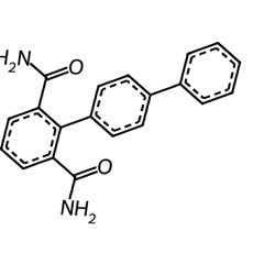 NC(=O)c1cccc(C(N)=O)c1-c1ccc(-c2ccccc2)cc1